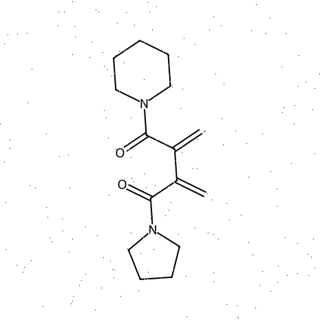 [CH]=C(C(=C)C(=O)N1CCCC1)C(=O)N1CCCCC1